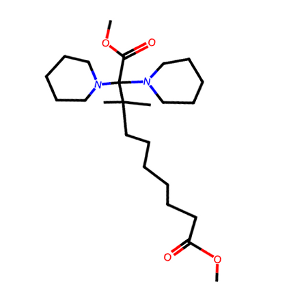 COC(=O)CCCCCCC(C)(C)C(C(=O)OC)(N1CCCCC1)N1CCCCC1